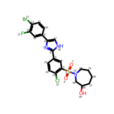 O=S(=O)(c1cc(-c2nc(-c3ccc(Br)c(F)c3)c[nH]2)ccc1Cl)N1CCCCC(O)C1